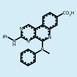 CC(C)Nc1ncc2c(n1)c(N(C)c1ccccc1)nc1cc(C(=O)O)ccc12